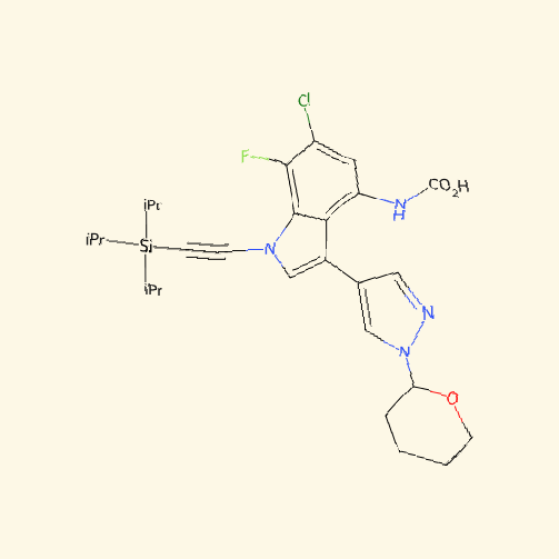 CC(C)[Si](C#Cn1cc(-c2cnn(C3CCCCO3)c2)c2c(NC(=O)O)cc(Cl)c(F)c21)(C(C)C)C(C)C